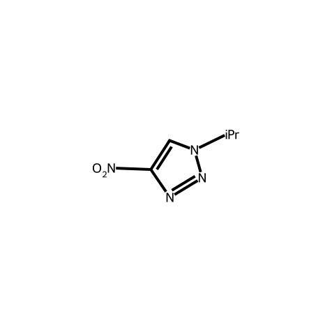 CC(C)n1cc([N+](=O)[O-])nn1